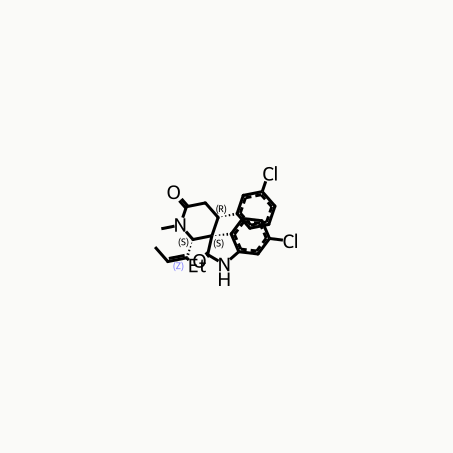 C/C=C(/CC)[C@@H]1N(C)C(=O)C[C@H](c2cccc(Cl)c2)[C@@]12C(=O)Nc1cc(Cl)ccc12